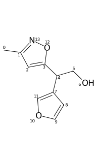 Cc1cc(C(CO)c2ccoc2)on1